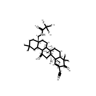 CC1(C)CC[C@]2(CNC(=O)C(F)(F)F)CC[C@]3(C)C(C(=O)C[C@@H]4[C@@]5(C)C=C(C#N)C(=O)C(C)(C)C5CC[C@]43C)C2C1